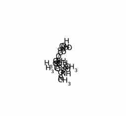 COc1cc(-c2cn(C)c(=O)c3cc(NC(=O)C4CCN(C)CC4)sc23)cc(OC)c1CN(C)CC(=O)NCCOCCOc1cccc2c1C(=O)N(C1CCC(=O)NC1=O)C2=O